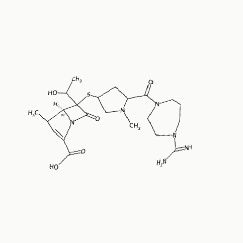 CC1C=C(C(=O)O)N2C(=O)C(SC3CC(C(=O)N4CCCN(C(=N)N)CC4)N(C)C3)(C(C)O)[C@H]12